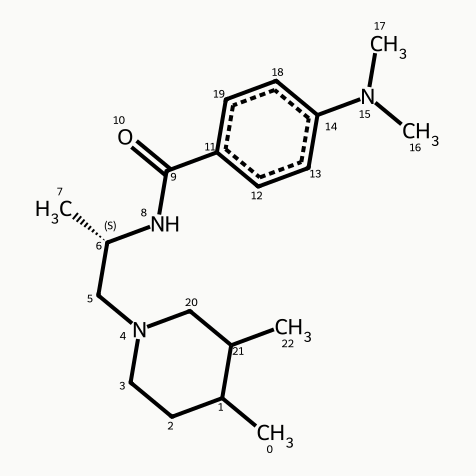 CC1CCN(C[C@H](C)NC(=O)c2ccc(N(C)C)cc2)CC1C